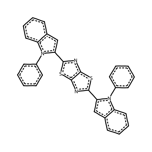 c1ccc(-n2c(-c3nc4sc(-c5cc6ccccc6n5-c5ccccc5)nc4s3)cc3ccccc32)cc1